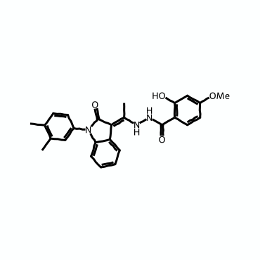 COc1ccc(C(=O)NNC(C)=C2C(=O)N(c3ccc(C)c(C)c3)c3ccccc32)c(O)c1